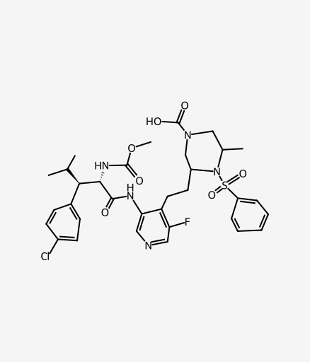 COC(=O)N[C@H](C(=O)Nc1cncc(F)c1CCC1CN(C(=O)O)CC(C)N1S(=O)(=O)c1ccccc1)[C@@H](c1ccc(Cl)cc1)C(C)C